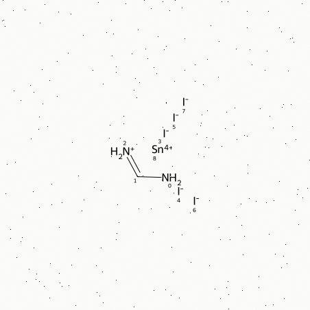 NC=[NH2+].[I-].[I-].[I-].[I-].[I-].[Sn+4]